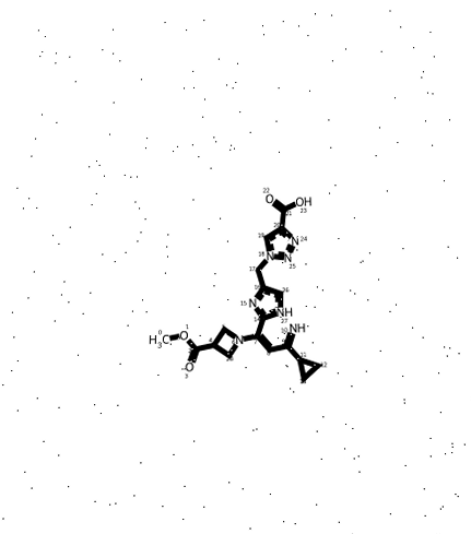 COC(=O)C1CN(/C(=C/C(=N)C2CC2)c2nc(Cn3cc(C(=O)O)nn3)c[nH]2)C1